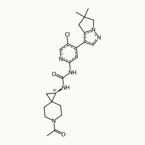 CC(=O)N1CCC2(CC1)C[C@H]2NC(=O)Nc1cc(-c2cnn3c2CC(C)(C)C3)c(Cl)cn1